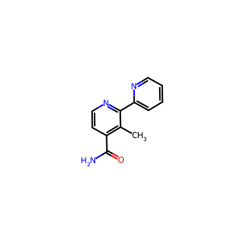 Cc1c(C(N)=O)ccnc1-c1ccccn1